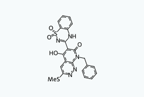 CSc1cc2c(O)c(C3=NS(=O)(=O)c4ccccc4N3)c(=O)n(Cc3ccccc3)c2nn1